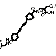 CCC(CNC(=O)c1ccc(C#CC#Cc2ccc(CNCC(F)F)cc2)cc1)C(=O)O